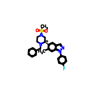 Cc1cc2c(cnn2-c2ccc(F)cc2)cc1[C@H]1CN(S(C)(=O)=O)CCN1Cc1ccccc1